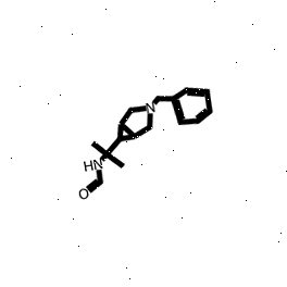 CC(C)(NC=O)C1C2CN(Cc3ccccc3)CC21